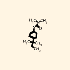 CCC(C)(C)C1=CC=C(SC(=O)N(C)C)CC1